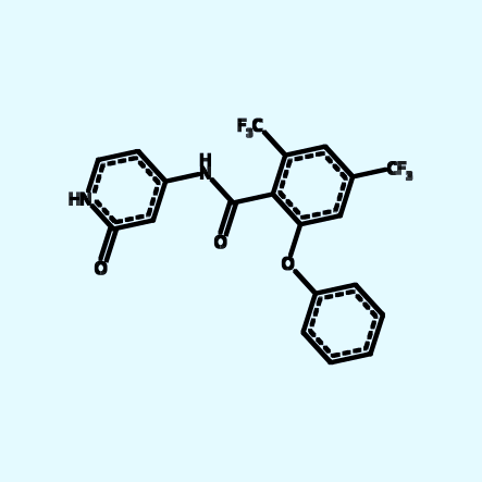 O=C(Nc1cc[nH]c(=O)c1)c1c(Oc2ccccc2)cc(C(F)(F)F)cc1C(F)(F)F